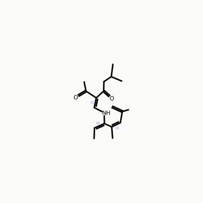 C=C(C)/C=C(C)\C(=C/C)N/C=C(/C(C)=O)C(=O)CC(C)C